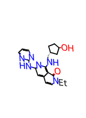 CCn1ccc2cc(Nc3ncccn3)nc(NC[C@@H]3CC[C@@H](O)C3)c2c1=O